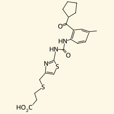 Cc1ccc(NC(=O)Nc2nc(CSCCC(=O)O)cs2)c(C(=O)C2CCCC2)c1